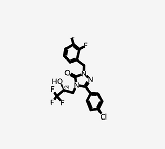 [CH2]c1cccc(Cn2nc(-c3ccc(Cl)cc3)n(C[C@H](O)C(F)(F)F)c2=O)c1F